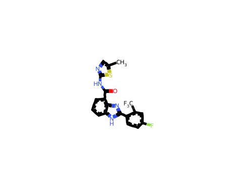 Cc1cnc(NC(=O)c2cccc3[nH]c(-c4ccc(F)cc4C(F)(F)F)nc23)s1